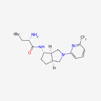 CC(C)(C)C[C@H](N)C(=O)N[C@H]1CC[C@@H]2CN(c3cccc(C(F)(F)F)n3)C[C@@H]21